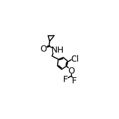 O=C(NCc1ccc(OC(F)F)c(Cl)c1)C1CC1